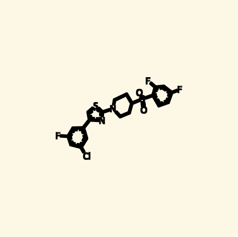 O=S(=O)(c1ccc(F)cc1F)C1CCN(c2nc(-c3cc(F)cc(Cl)c3)cs2)CC1